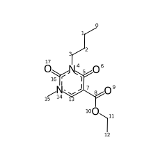 CCCCn1c(=O)c(C(=O)OCC)cn(C)c1=O